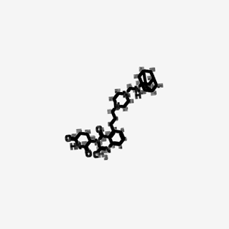 Cc1nc2cccc(CCCN3CCN(CNC45CC6CC(CC(C6)C4)C5)CC3)c2c(=O)n1C1CCC(=O)NC1=O